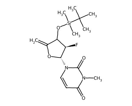 C=C1O[C@@H](n2ccc(=O)n(C)c2=O)[C@H](F)C1O[Si](C)(C)C(C)(C)C